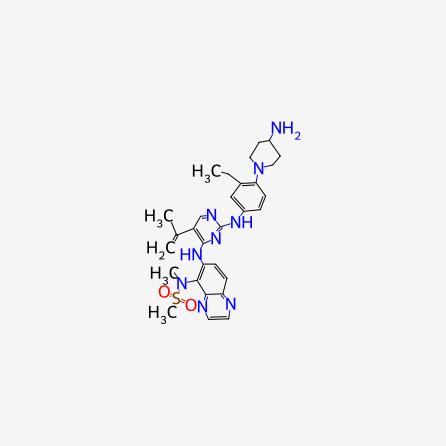 C=C(C)c1cnc(Nc2ccc(N3CCC(N)CC3)c(CC)c2)nc1Nc1ccc2nccnc2c1N(C)S(C)(=O)=O